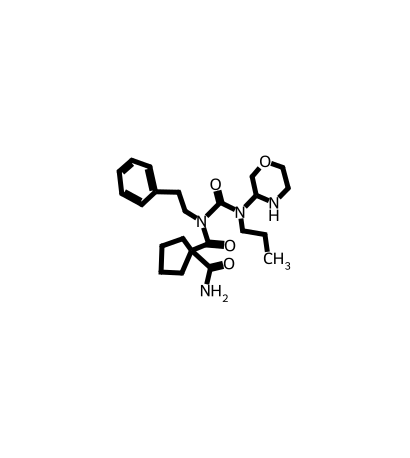 CCCN(C(=O)N(CCc1ccccc1)C(=O)C1(C(N)=O)CCCC1)C1COCCN1